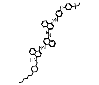 CCCCCCC1CCC(CNc2ccc(N=Nc3ccc(N=Nc4ccc(N=Nc5ccc(Oc6ccc(C(C)(C)CC)cc6)cc5)c5ccccc45)c4ccccc34)c3ccccc23)CC1